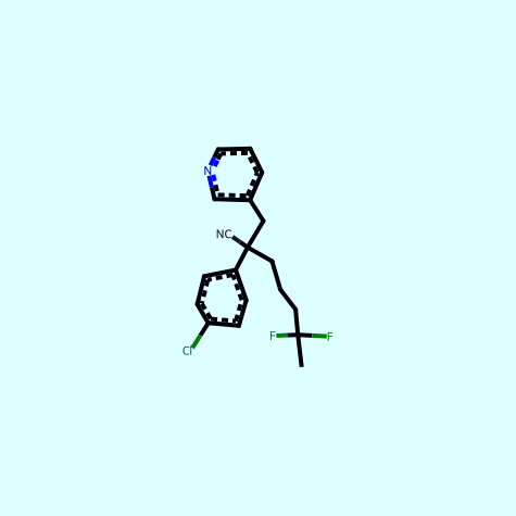 CC(F)(F)CCCC(C#N)(Cc1cccnc1)c1ccc(Cl)cc1